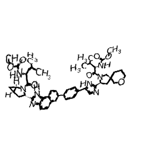 COC(=O)N[C@H](C(=O)N1C[C@]2(CCCOC2)C[C@H]1c1ncc(-c2ccc(-c3ccc4c(ccc5nc([C@@H]6C[C@H]7C[C@H]7N6C(=O)[C@@H](NC(=O)OC)C(C)C)[nH]c54)c3)cc2)[nH]1)C(C)C